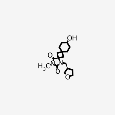 CN1C(=O)N(C[C@H]2CCOC2)C2(CC3(CCC(O)CC3)C2)C1=O